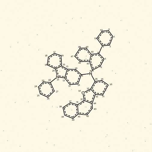 c1ccc(-c2ccc(N(c3ccc4c(c3)c3ccccc3n4-c3ccccc3)c3cccc4c3oc3c5ccccc5ccc43)c3ccccc23)cc1